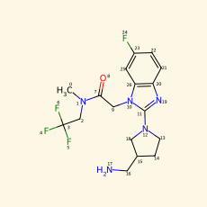 CN(CC(F)(F)F)C(=O)Cn1c(N2CCC(CN)C2)nc2ccc(F)cc21